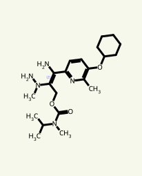 Cc1nc(/C(N)=C(\COC(=O)N(C)C(C)C)N(C)N)ccc1OC1CCCCC1